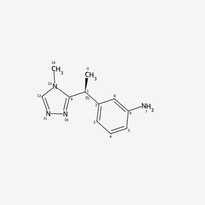 C[C@@H](c1cccc(N)c1)c1nncn1C